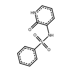 O=c1[nH]cccc1NS(=O)(=O)c1ccccc1